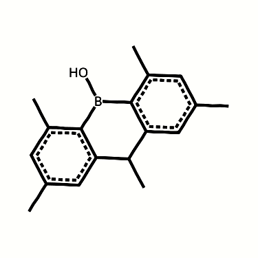 Cc1cc(C)c2c(c1)C(C)c1cc(C)cc(C)c1B2O